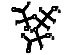 O=C(F)C(F)(OC(F)(OC(F)(C(=O)F)C(F)(F)F)C(F)(F)C(F)(F)F)C(F)(F)F